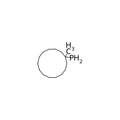 CC1(P)CCCCCCCCCCCCC1